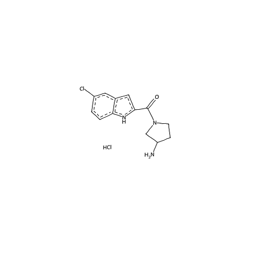 Cl.NC1CCN(C(=O)c2cc3cc(Cl)ccc3[nH]2)C1